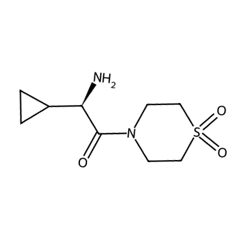 N[C@@H](C(=O)N1CCS(=O)(=O)CC1)C1CC1